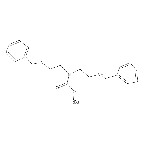 CC(C)(C)OC(=O)N(CCNCc1ccccc1)CCNCc1ccccc1